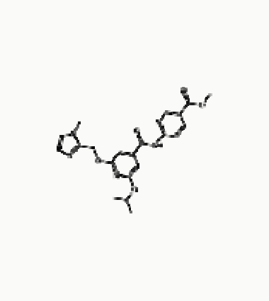 COC(=O)c1ccc(NC(=O)c2cc(OCc3nccn3C)nc(OC(C)C)c2)nc1